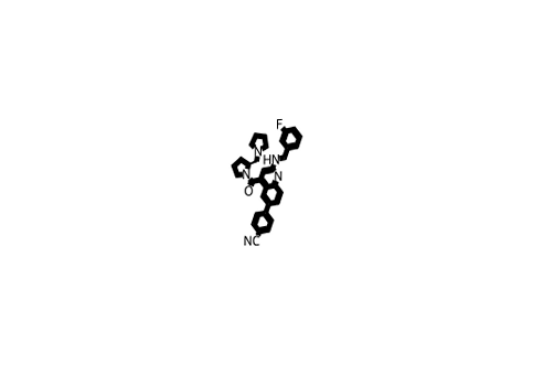 N#Cc1ccc(-c2ccc3nc(NCc4cccc(F)c4)cc(C(=O)N4CCC[C@H]4CN4CCCC4)c3c2)cc1